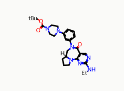 CCNc1ncc2c(n1)N1CCC[C@H]1CN(c1cccc(N3CCN(C(=O)OC(C)(C)C)CC3)c1)C2=O